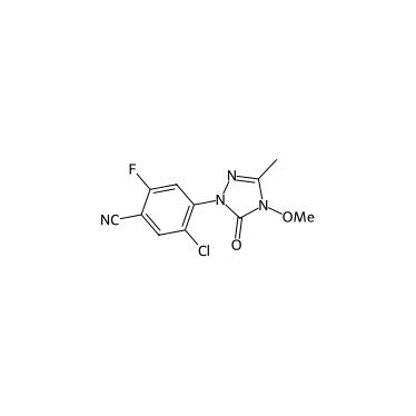 COn1c(C)nn(-c2cc(F)c(C#N)cc2Cl)c1=O